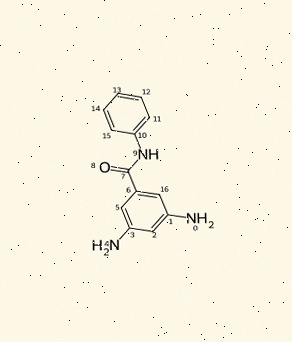 Nc1cc(N)cc(C(=O)Nc2cc[c]cc2)c1